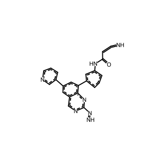 N=C=CC(=O)Nc1cccc(-c2cc(-c3cccnc3)cc3cnc(N=N)nc23)c1